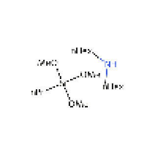 CCCCCCNCCCCCC.CCC[Si](OC)(OC)OC